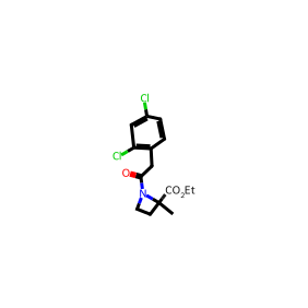 CCOC(=O)C1(C)CCN1C(=O)Cc1ccc(Cl)cc1Cl